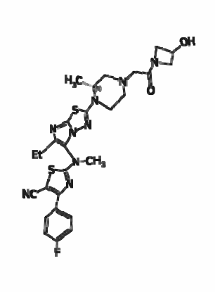 CCc1nc2sc(N3CCN(CC(=O)N4CC(O)C4)C[C@H]3C)nn2c1N(C)c1nc(-c2ccc(F)cc2)c(C#N)s1